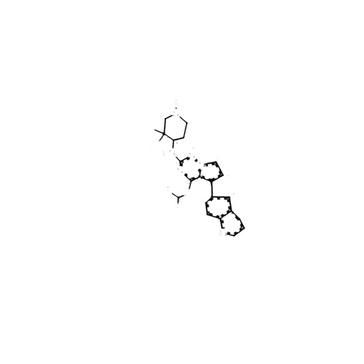 CC(=O)N1CCC(Nc2nc(OC(F)F)c3c(-c4ccc5ncccc5c4)ccn3n2)C(F)(F)C1